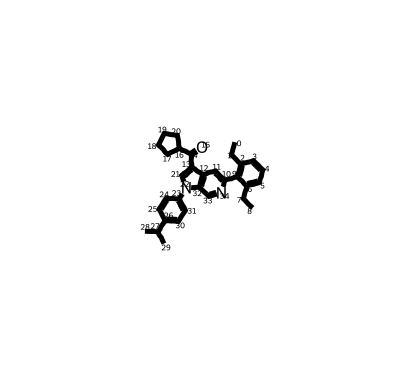 CCc1cccc(CC)c1-c1cc2c(C(=O)C3CCCC3)cn(-c3ccc(C(C)C)cc3)c2cn1